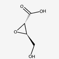 O=C(O)[C@H]1O[C@@H]1CO